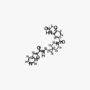 O=C1COc2ccc(C(=O)N3CCC4(CC3)CC4CNC(=O)c3cc4ccncc4o3)cc2N1